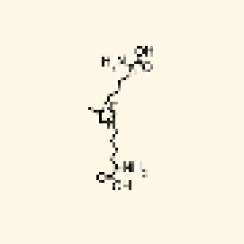 Cc1cn(CCCC[C@H](N)C(=O)O)c[n+]1CCCC[C@H](N)C(=O)O